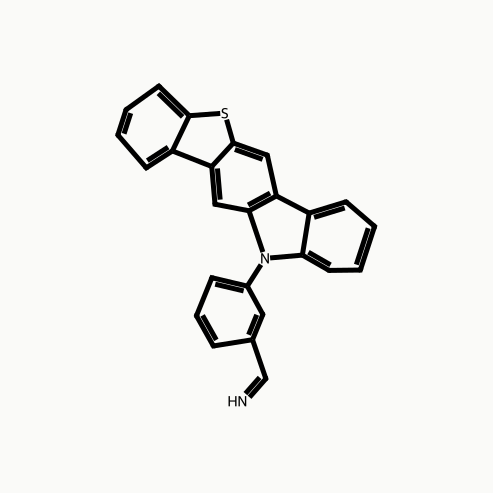 N=Cc1cccc(-n2c3ccccc3c3cc4sc5ccccc5c4cc32)c1